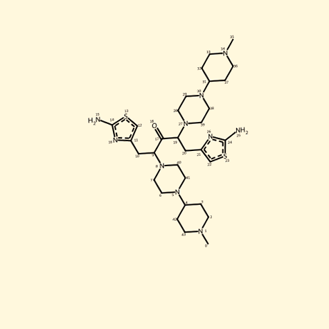 CN1CCC(N2CCN(C(Cc3csc(N)n3)C(=O)C(Cc3csc(N)n3)N3CCN(C4CCN(C)CC4)CC3)CC2)CC1